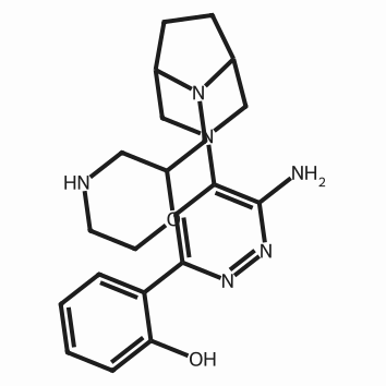 Nc1nnc(-c2ccccc2O)cc1N1CC2CCC(C1)N2CC1CNCCO1